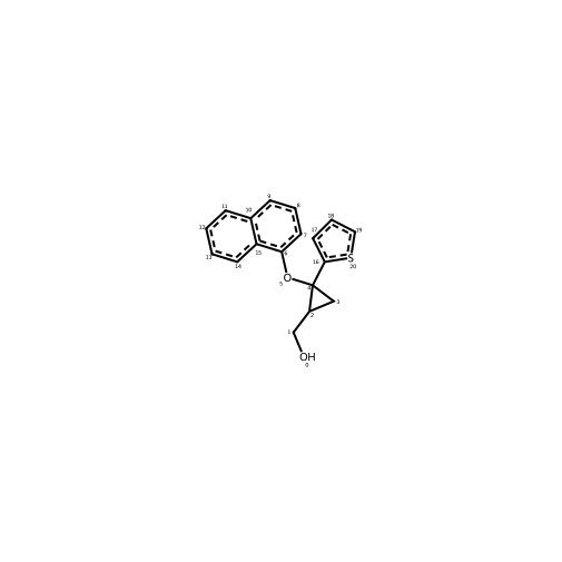 OCC1CC1(Oc1cccc2ccccc12)c1cccs1